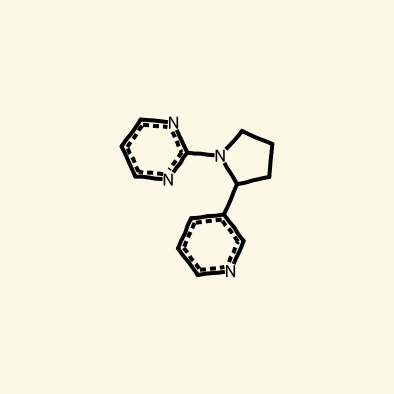 c1cnc(N2CCCC2c2cccnc2)nc1